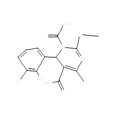 COC1=NC(C)=C(C(=O)O)C(c2cccc(Cl)c2Cl)N1C(=O)O